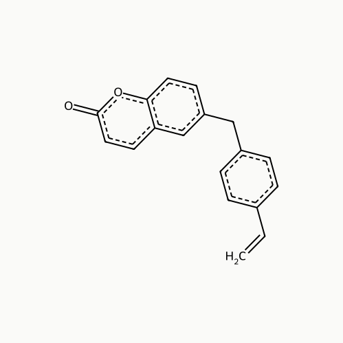 C=Cc1ccc(Cc2ccc3oc(=O)ccc3c2)cc1